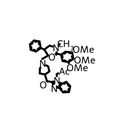 COc1cc(C(=O)N(C)CC(CCN2CCC(C(=O)c3nc4ccccc4n3CC(C)=O)CC2)c2ccccc2)cc(OC)c1OC